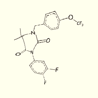 CC1(C)C(=O)N(c2ccc(F)c(F)c2)C(=O)N1Cc1ccc(OC(F)(F)F)cc1